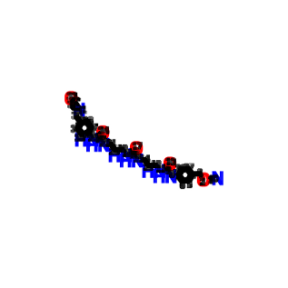 N#COCc1ccc(NC(=O)NCCCNC(=O)NCCCNC(=O)Nc2ccc(CN=C=O)cc2)cc1